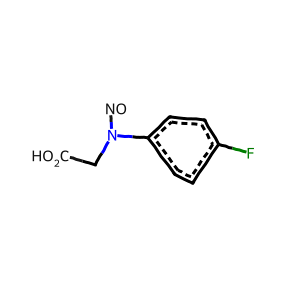 O=NN(CC(=O)O)c1ccc(F)cc1